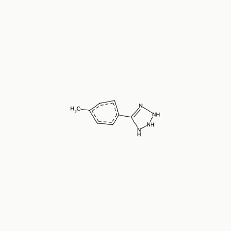 Cc1ccc(C2=NNNN2)cc1